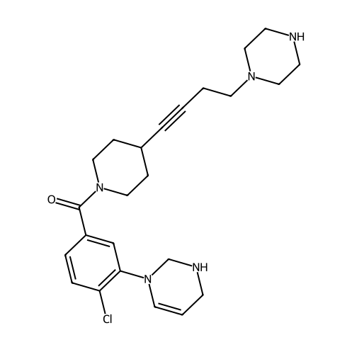 O=C(c1ccc(Cl)c(N2C=CCNC2)c1)N1CCC(C#CCCN2CCNCC2)CC1